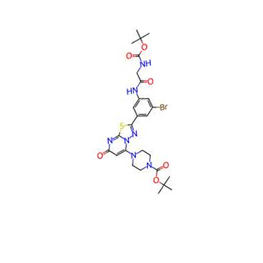 CC(C)(C)OC(=O)NCC(=O)Nc1cc(Br)cc(-c2nn3c(N4CCN(C(=O)OC(C)(C)C)CC4)cc(=O)nc3s2)c1